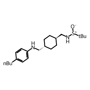 CCCCc1ccc(NC[C@H]2CC[C@H](CN[S+]([O-])C(C)(C)C)CC2)cc1